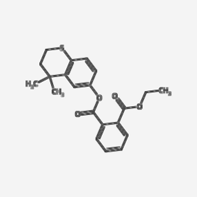 CCOC(=O)c1ccccc1C(=O)Oc1ccc2c(c1)C(C)(C)CCS2